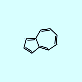 [c]1cccc2[c]ccc-2c1